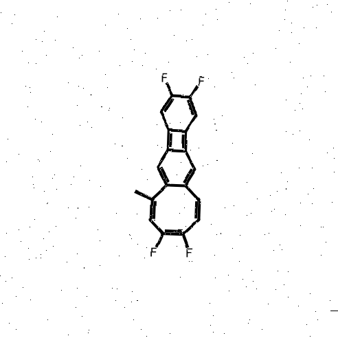 Cc1cc(F)c(F)ccc2cc3c4cc(F)c(F)cc4c3cc12